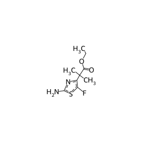 CCOC(=O)C(C)(C)c1nc(N)sc1F